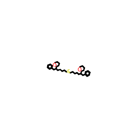 c1ccc(CC(CCCCCSCCCCCC(Cc2ccccc2)C2CCCCO2)C2CCCCO2)cc1